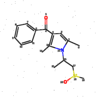 Cc1cc(C(=O)c2ccccc2)c(C)n1C(C)C[S+](C)[O-]